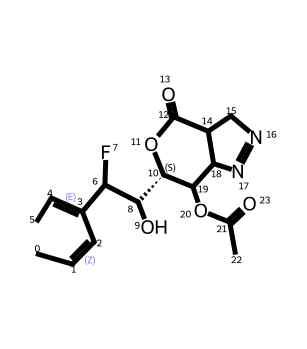 C/C=C\C(=C/C)C(F)C(O)[C@@H]1OC(=O)C2CN=NC2C1OC(C)=O